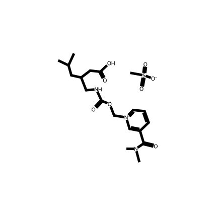 CC(C)CC(CNC(=O)OC[n+]1cccc(C(=O)N(C)C)c1)CC(=O)O.CS(=O)(=O)[O-]